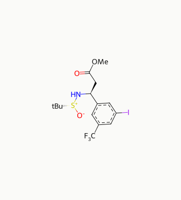 COC(=O)C[C@H](N[S@+]([O-])C(C)(C)C)c1cc(I)cc(C(F)(F)F)c1